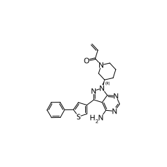 C=CC(=O)N1CCC[C@@H](n2nc(-c3csc(-c4ccccc4)c3)c3c(N)ncnc32)C1